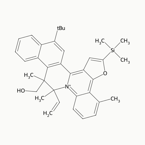 C=CC1(C)[n+]2c(c3cc([Si](C)(C)C)oc3c3c(C)cccc32)-c2cc(C(C)(C)C)c3ccccc3c2C1(C)CO